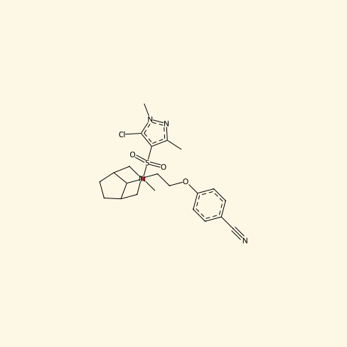 Cc1nn(C)c(Cl)c1S(=O)(=O)N(C)C1C2CCC1CN(CCOc1ccc(C#N)cc1)C2